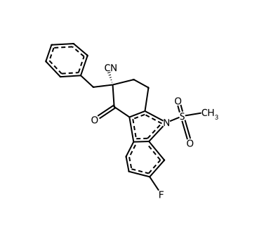 CS(=O)(=O)n1c2c(c3ccc(F)cc31)C(=O)[C@@](C#N)(Cc1ccccc1)CC2